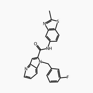 Cc1nc2cc(NC(=O)c3cc4ncccc4n3Cc3cccc(F)c3)ccc2s1